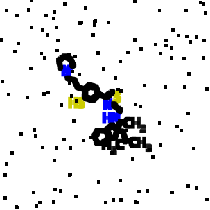 C=C(C)CC1(C(=C)NCc2nc(-c3ccc(CCCN4CCCCC4)c(S)c3)cs2)CC2=C(CCC=C2)C1